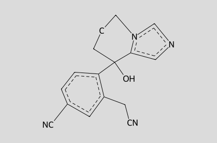 N#CCc1cc(C#N)ccc1C1(O)CCCn2cncc21